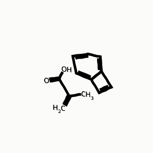 C1=Cc2ccccc21.C=C(C)C(=O)O